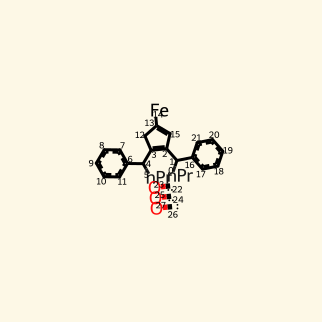 CCCC(C1=C(C(CCC)c2ccccc2)C[C]([Fe])=C1)c1ccccc1.[C]=O.[C]=O.[C]=O